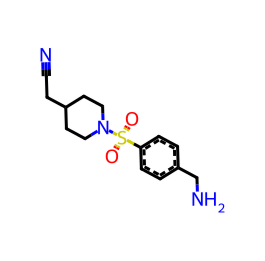 N#CCC1CCN(S(=O)(=O)c2ccc(CN)cc2)CC1